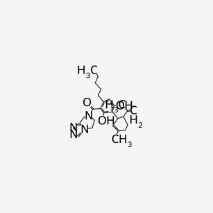 C=C(C)C1CCC(C)=CC1c1c(O)cc(CCCCC)c(C(=O)N2CCn3cnnc3C2)c1O